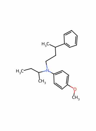 CCC(C)N(CCC(C)c1ccccc1)c1ccc(OC)cc1